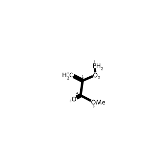 C=C(OP)C(=O)OC